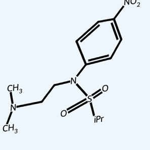 CC(C)S(=O)(=O)N(CCN(C)C)c1ccc([N+](=O)[O-])cc1